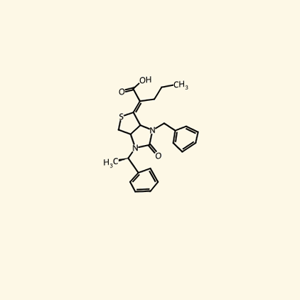 CCCC(C(=O)O)=C1SCC2C1N(Cc1ccccc1)C(=O)N2[C@H](C)c1ccccc1